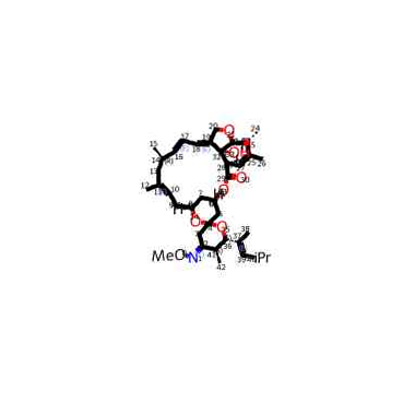 CO/N=C1\CC2(C[C@@H]3C[C@@H](C/C=C(\C)C[C@@H](C)/C=C/C=C4\CO[C@@H]5[C@H](C)C(C)=C[C@@H](C(=O)O3)[C@]45O)O2)O[C@H](/C(C)=C/C(C)C)[C@H]1C